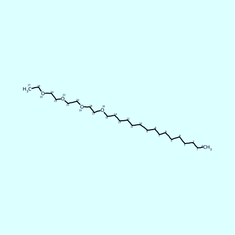 CCCCCCCCCCCCCCCCO[CH]COCCOCCOCC